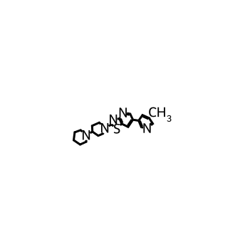 Cc1cncc(-c2cnc3nc(N4CCC(N5CCCCC5)CC4)sc3c2)c1